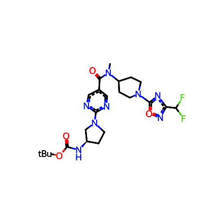 CN(C(=O)c1cnc(N2CC[C@@H](NC(=O)OC(C)(C)C)C2)nc1)C1CCN(c2nc(C(F)F)no2)CC1